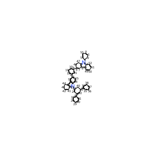 C1=CCC(N2C3=C(C=C(c4cccc(-c5ccc6c(c5)c5c(n6C6=CC(c7ccccc7)=CC(c7ccccc7)C6)C=CCC5)c4)CC3)C3C=CC=CC32)C=C1